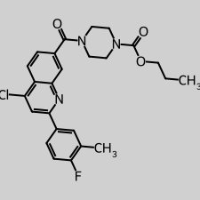 CCCOC(=O)N1CCN(C(=O)c2ccc3c(Cl)cc(-c4ccc(F)c(C)c4)nc3c2)CC1